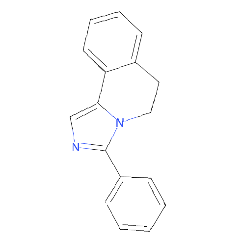 c1ccc(-c2ncc3n2CCc2ccccc2-3)cc1